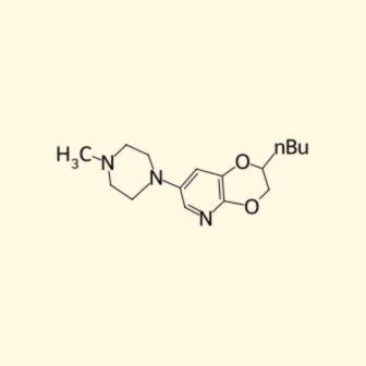 CCCCC1COc2ncc(N3CCN(C)CC3)cc2O1